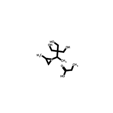 CC1CN1C(C)C(CO)(CO)CO.CCC(=O)O